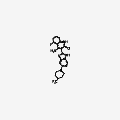 Nc1c(-c2nc3cc(N4CCC(C(F)(F)F)CC4)ccc3[nH]2)c(=O)[nH]c2cccc(F)c12